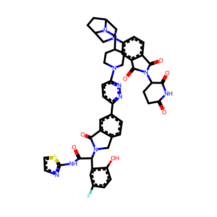 O=C1CCC(N2C(=O)c3ccc(N4CC5CCC(C4)N5CC4CCN(c5ccc(-c6ccc7c(c6)C(=O)N(C(C(=O)Nc6nccs6)c6cc(F)ccc6O)C7)nn5)CC4)cc3C2=O)C(=O)N1